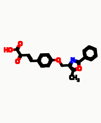 Cc1oc(-c2ccccc2)nc1COc1ccc(/C=C/C(=O)C(=O)O)cc1